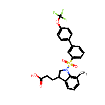 Cc1cccc2c1N(S(=O)(=O)c1cccc(-c3ccc(OC(F)(F)F)cc3)c1)CC2CCC(=O)O